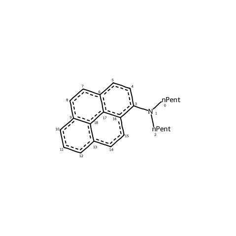 CCCCCN(CCCCC)c1ccc2ccc3cccc4ccc1c2c34